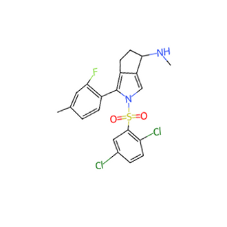 CNC1CCc2c1cn(S(=O)(=O)c1cc(Cl)ccc1Cl)c2-c1ccc(C)cc1F